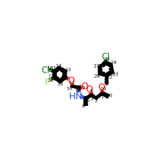 C=C(CC(=O)C(=C)NC(=O)COc1ccc(Cl)c(F)c1)OCc1ccc(Cl)cc1